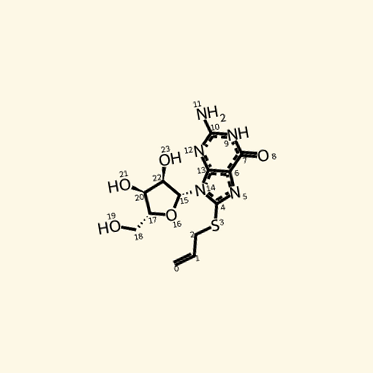 C=CCSc1nc2c(=O)[nH]c(N)nc2n1[C@@H]1O[C@H](CO)[C@@H](O)[C@H]1O